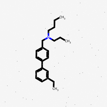 CCCCN(CCC)Cc1ccc(-c2cccc(CC)c2)cc1